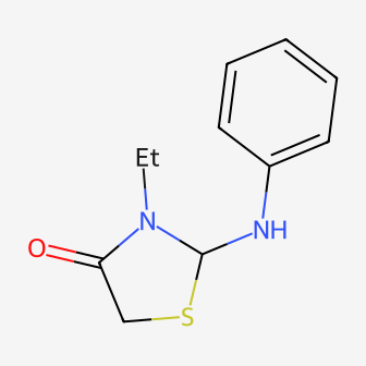 CCN1C(=O)CSC1Nc1ccccc1